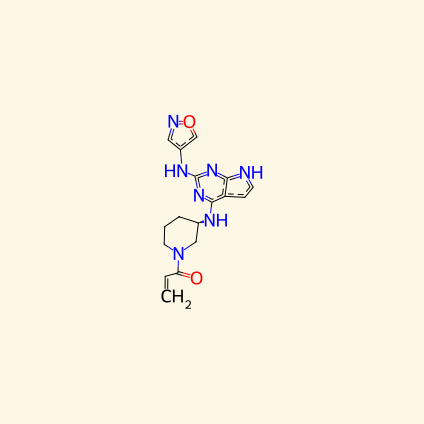 C=CC(=O)N1CCC[C@@H](Nc2nc(Nc3cnoc3)nc3[nH]ccc23)C1